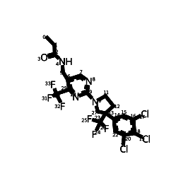 CCC(=O)NCc1cnc(N2CCC(c3cc(Cl)c(Cl)c(Cl)c3)(C(F)(F)F)C2)nc1C(F)(F)F